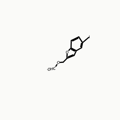 O=[C]OCc1cc2cc(I)ccc2o1